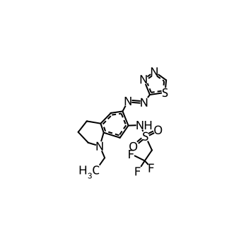 CCN1CCCc2cc(N=Nc3nncs3)c(NS(=O)(=O)CC(F)(F)F)cc21